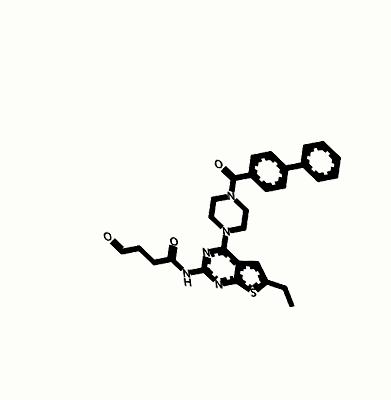 CCc1cc2c(N3CCN(C(=O)c4ccc(-c5ccccc5)cc4)CC3)nc(NC(=O)CCC=O)nc2s1